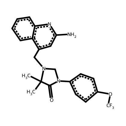 CC1(C)C(=O)N(c2ccc(OC(F)(F)F)cc2)CN1Cc1cc(N)nc2ccccc12